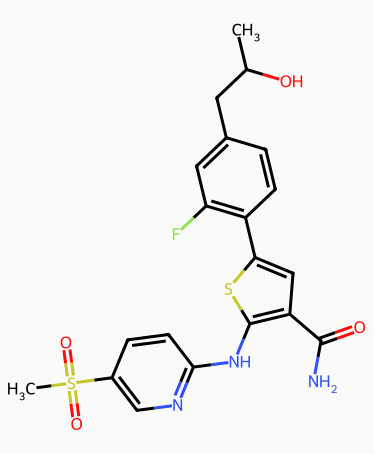 CC(O)Cc1ccc(-c2cc(C(N)=O)c(Nc3ccc(S(C)(=O)=O)cn3)s2)c(F)c1